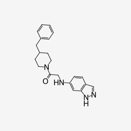 O=C(CNc1ccc2cn[nH]c2c1)N1CCC(Cc2ccccc2)CC1